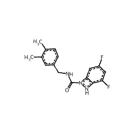 Cc1ccc(CNC(=O)n2[nH]c3c(F)cc(F)cc32)cc1C